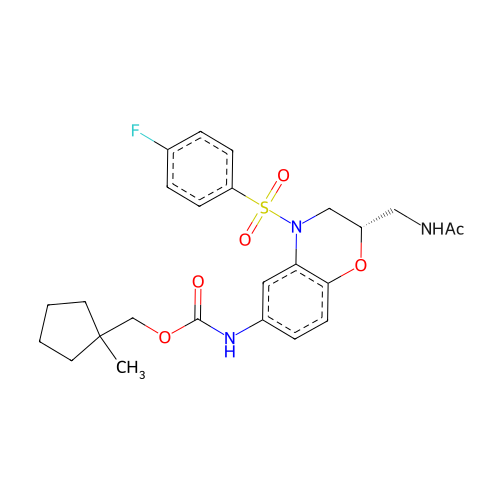 CC(=O)NC[C@H]1CN(S(=O)(=O)c2ccc(F)cc2)c2cc(NC(=O)OCC3(C)CCCC3)ccc2O1